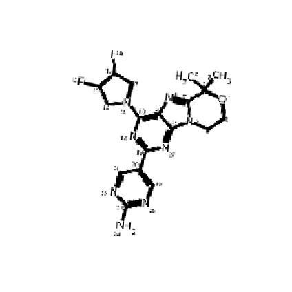 CC1(C)OCCn2c1nc1c(N3CC(F)C(F)C3)nc(-c3cnc(N)nc3)nc12